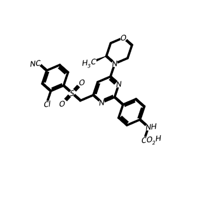 C[C@H]1COCCN1c1cc(CS(=O)(=O)c2ccc(C#N)cc2Cl)nc(-c2ccc(NC(=O)O)cc2)n1